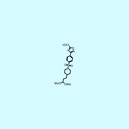 CCCCCCCCc1nc(-c2ccc(S(=O)(=O)N3CCC(CCC(OC)OC)CC3)cc2)no1